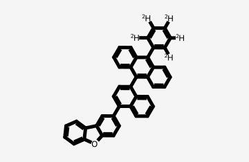 [2H]c1c([2H])c([2H])c(-c2c3ccccc3c(-c3ccc(-c4ccc5oc6ccccc6c5c4)c4ccccc34)c3ccccc23)c([2H])c1[2H]